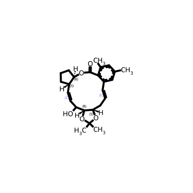 Cc1cc(C)c2c(c1)/C=C/C[C@@H]1OC(C)(C)O[C@@H]1C(O)/C=C\[C@@H]1CCC[C@H]1OC2=O